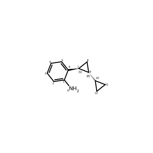 Nc1ccccc1[C@H]1C[C@@H]1C1CC1